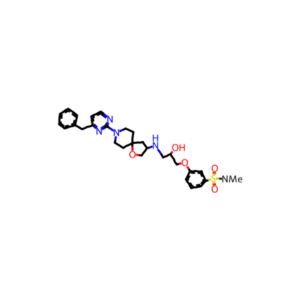 CNS(=O)(=O)c1cccc(OCC(O)CNC2COC3(CCN(c4nccc(Cc5ccccc5)n4)CC3)C2)c1